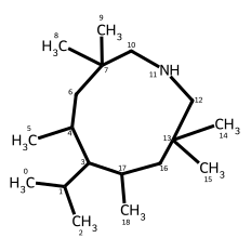 CC(C)C1C(C)CC(C)(C)CNCC(C)(C)CC1C